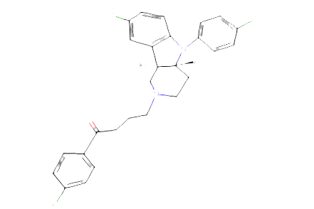 O=C(CCCN1CC[C@@H]2[C@@H](C1)c1cc(F)ccc1N2c1ccc(F)cc1)c1ccc(F)cc1